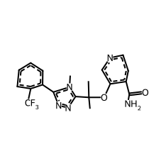 Cn1c(-c2ccccc2C(F)(F)F)nnc1C(C)(C)Oc1cnccc1C(N)=O